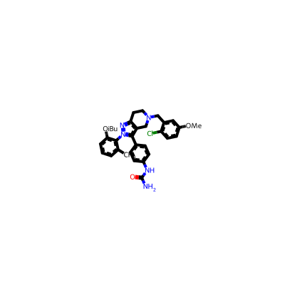 COc1ccc(Cl)c(CN2CCc3nn(-c4c(C)cccc4OCC(C)C)c(-c4ccc(NC(N)=O)cc4)c3C2)c1